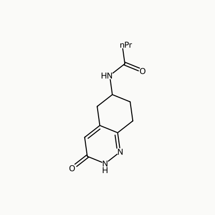 CCCC(=O)NC1CCc2n[nH]c(=O)cc2C1